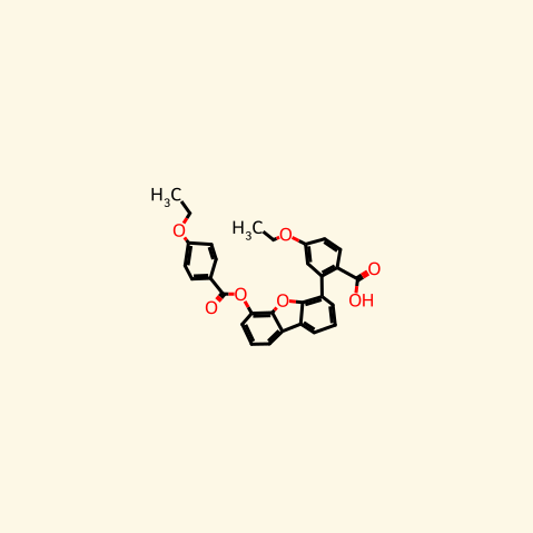 CCOc1ccc(C(=O)Oc2cccc3c2oc2c(-c4cc(OCC)ccc4C(=O)O)cccc23)cc1